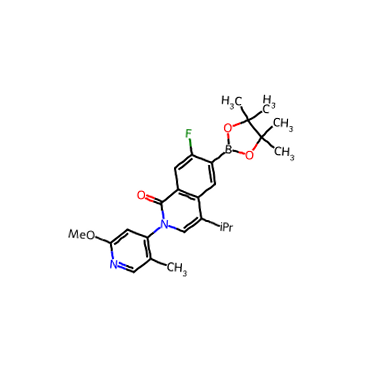 COc1cc(-n2cc(C(C)C)c3cc(B4OC(C)(C)C(C)(C)O4)c(F)cc3c2=O)c(C)cn1